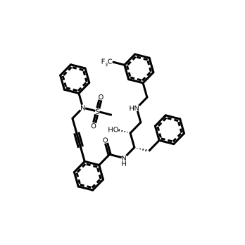 CS(=O)(=O)N(CC#Cc1ccccc1C(=O)N[C@@H](Cc1ccccc1)[C@H](O)CNCc1cccc(C(F)(F)F)c1)c1ccccc1